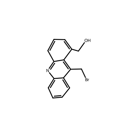 OCc1cccc2nc3ccccc3c(CBr)c12